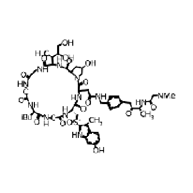 CCC(C)C1NC(=O)CNC(=O)CNC(=O)C([C@@H](C)C(O)CO)NC(=O)C2C[C@@H](O)CN2C(=O)C(CC(=O)NCc2ccc(CC(=O)C(C)NC(=O)CNC)cc2)NC(=O)[C@H](C[S+]([O-])c2[nH]c3cc(O)ccc3c2C)NC(=O)CNC1=O